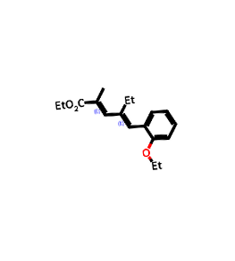 CCOC(=O)/C(C)=C/C(=C/c1ccccc1OCC)CC